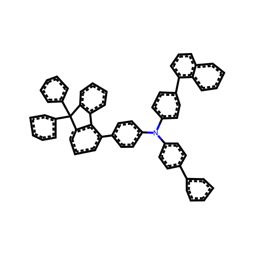 c1ccc(-c2ccc(N(c3ccc(-c4cccc5c4-c4ccccc4C5(c4ccccc4)c4ccccc4)cc3)c3ccc(-c4cccc5ccccc45)cc3)cc2)cc1